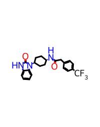 O=C(Cc1ccc(C(F)(F)F)cc1)N[C@H]1CC[C@H](n2c(=O)[nH]c3ccccc32)CC1